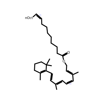 CCCCCCCC/C=C\CCCCCCCC(=O)OCC=C(C)/C=C\C=C(C)C=CC1=C(C)CCCC1(C)C